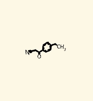 CCc1ccc(C(=O)CC#N)cc1